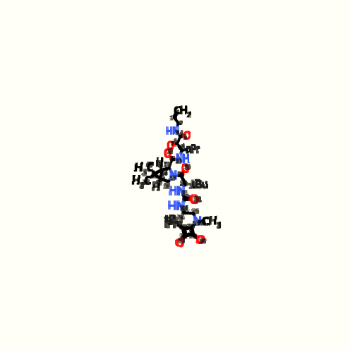 C=CCNC(=O)C(=O)C(CCC)NC(=O)[C@@H]1[C@@H]2[C@H](CN1C(=O)[C@@H](NC(=O)N[C@H](CN(C)c1c(C(C)C)c(=O)c1=O)C(C)(C)C)C(C)(C)C)C2(C)C